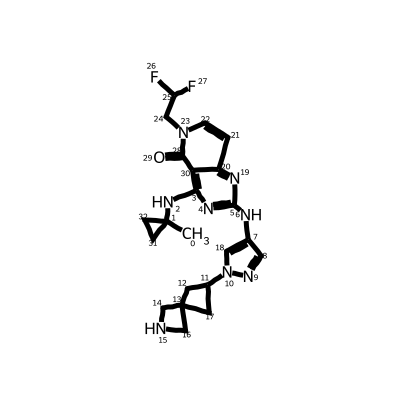 CC1(Nc2nc(Nc3cnn(C4CC5(CNC5)C4)c3)nc3ccn(CC(F)F)c(=O)c23)CC1